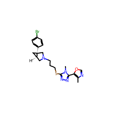 Cc1ncoc1-c1nnc(SCCCN2C[C@H]3C[C@@]3(c3ccc(Br)cc3)C2)n1C